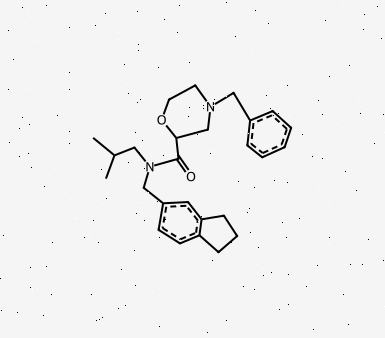 CC(C)CN(Cc1ccc2c(c1)CCC2)C(=O)C1CN(Cc2ccccc2)CCO1